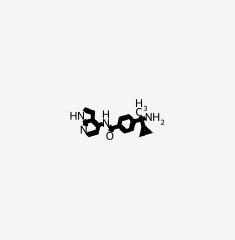 CC(N)(c1ccc(C(=O)Nc2ccnc3[nH]ccc23)cc1)C1CC1